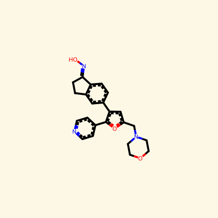 O/N=C1\CCc2cc(-c3cc(CN4CCOCC4)oc3-c3ccncc3)ccc21